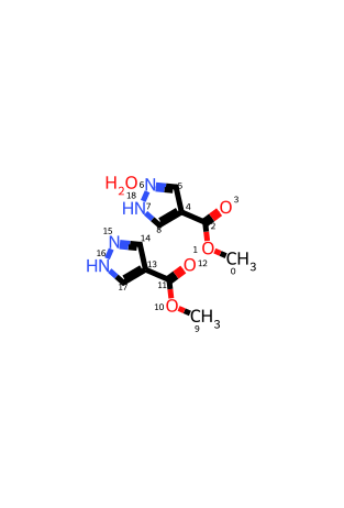 COC(=O)c1cn[nH]c1.COC(=O)c1cn[nH]c1.O